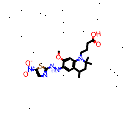 COc1cc2c(cc1/N=N/c1ncc([N+](=O)[O-])s1)C(C)CC(C)(C)N2CCCC(=O)O